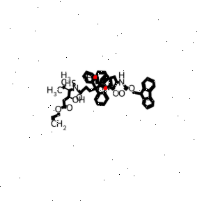 C=CCOC(=O)C[C@H](O)[C@@H](C(C)C)N(S)C(=O)CCC(c1ccccc1)(c1ccccc1)c1ccccc1NC(=O)C(Cc1ccc(F)cc1)NC(=O)OCC1c2ccccc2-c2ccccc21